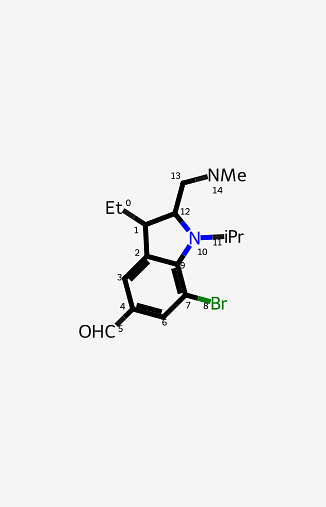 CCC1c2cc(C=O)cc(Br)c2N(C(C)C)C1CNC